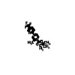 CC1CN(c2ccc(C(F)(F)F)cn2)CCN1C(=O)OC(C)(C)C